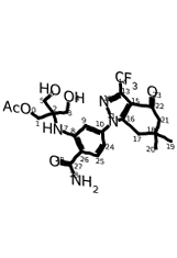 CC(=O)OCC(CO)(CO)Nc1cc(-n2nc(C(F)(F)F)c3c2CC(C)(C)CC3=O)ccc1C(N)=O